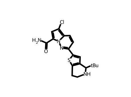 CC(C)(C)C1NCCc2sc(-c3ccc4c(Cl)cc(C(N)=O)n4n3)cc21